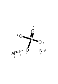 O=P([O-])([O-])[O-].[Al+3].[F-].[Na+]